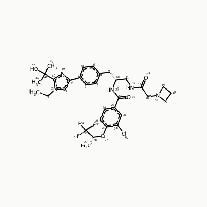 CCn1cc(-c2ccc(C[C@H](CNC(=O)CN3CCC3)NC(=O)c3ccc(O[C@H](C)C(F)(F)F)c(Cl)c3)cc2)nc1C(C)(C)O